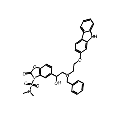 CN(C)S(=O)(=O)n1c(=O)oc2ccc(C(O)CN(CCOc3ccc4c(c3)[nH]c3ccccc34)Cc3ccccc3)cc21